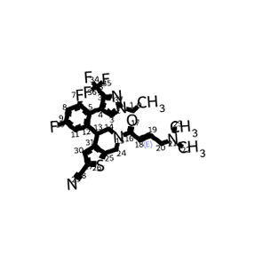 CCn1cc(-c2c(F)cc(F)cc2C2CN(C(=O)/C=C/CN(C)C)Cc3sc(C#N)cc32)c(C(F)(F)F)n1